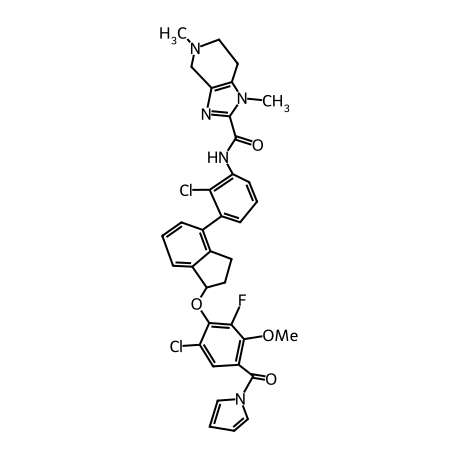 COc1c(C(=O)n2cccc2)cc(Cl)c(OC2CCc3c(-c4cccc(NC(=O)c5nc6c(n5C)CCN(C)C6)c4Cl)cccc32)c1F